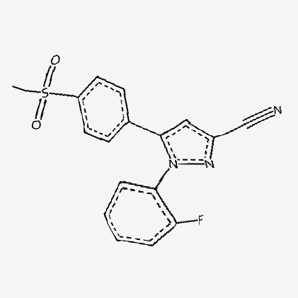 CS(=O)(=O)c1ccc(-c2cc(C#N)nn2-c2ccccc2F)cc1